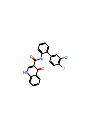 O=C(Nc1ccccc1-c1ccc(Cl)c(Cl)c1)c1c[nH]c2ccccc2c1=O